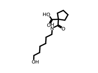 O=C(O)C1(C(=O)NCCCCCCO)CCCC1